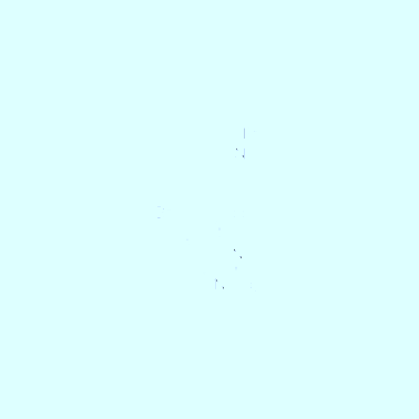 CC(C)N1CCC(Oc2cc(Br)cc3cnc(Cl)nc23)CC1